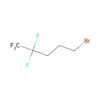 FC(F)(F)C(F)(F)CCCBr